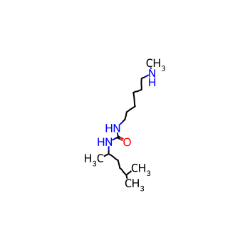 CNCCCCCCNC(=O)NC(C)CCC(C)C